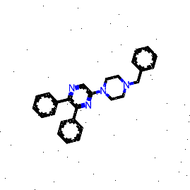 c1ccc(CN2CCN(c3cnc(-c4ccccc4)c(-c4ccccc4)n3)CC2)cc1